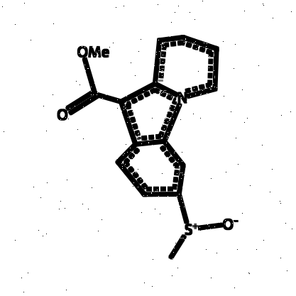 COC(=O)c1c2ccc([S+](C)[O-])cc2n2ccccc12